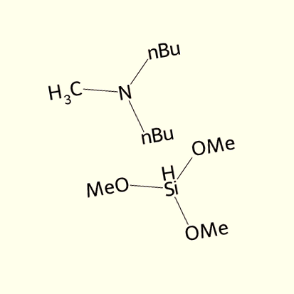 CCCCN(C)CCCC.CO[SiH](OC)OC